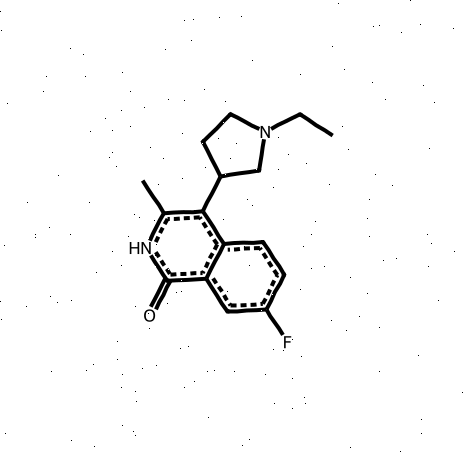 CCN1CCC(c2c(C)[nH]c(=O)c3cc(F)ccc23)C1